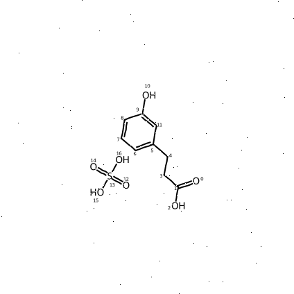 O=C(O)CCc1cccc(O)c1.O=S(=O)(O)O